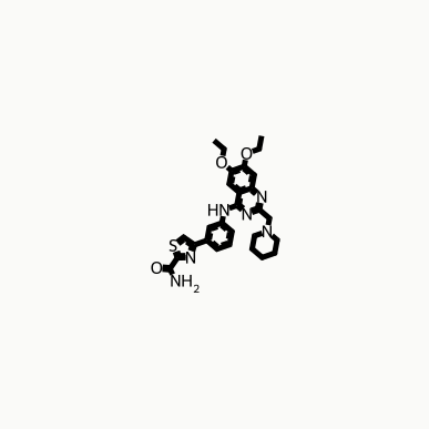 CCOc1cc2nc(CN3CCCCC3)nc(Nc3cccc(-c4csc(C(N)=O)n4)c3)c2cc1OCC